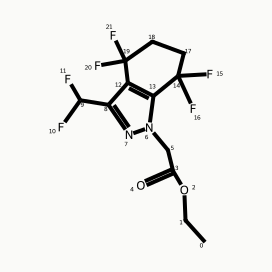 CCOC(=O)Cn1nc(C(F)F)c2c1C(F)(F)CCC2(F)F